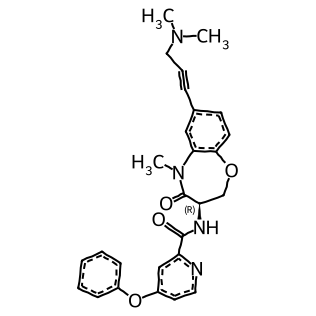 CN(C)CC#Cc1ccc2c(c1)N(C)C(=O)[C@H](NC(=O)c1cc(Oc3ccccc3)ccn1)CO2